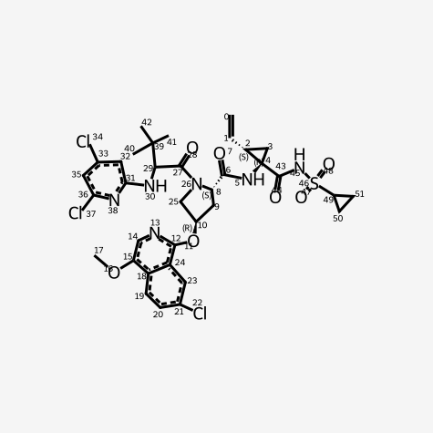 C=C[C@@H]1C[C@]1(NC(=O)[C@@H]1C[C@@H](Oc2ncc(OC)c3ccc(Cl)cc23)CN1C(=O)C(Nc1cc(Cl)cc(Cl)n1)C(C)(C)C)C(=O)NS(=O)(=O)C1CC1